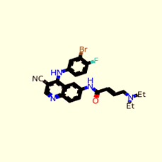 CCN(CC)C/C=C/C(=O)Nc1ccc2ncc(C#N)c(Nc3ccc(F)c(Br)c3)c2c1